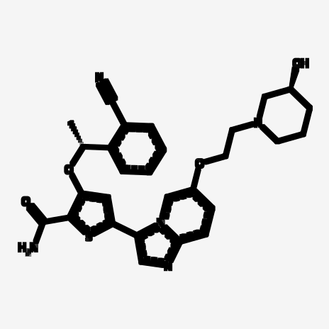 C[C@@H](Oc1cc(-c2cnc3ccc(OCCN4CCC[C@H](O)C4)cn23)sc1C(N)=O)c1ccccc1C#N